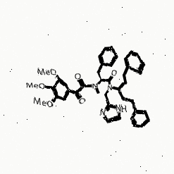 COc1cc(C(=O)C(=O)N(C)[C@@H](Cc2ccccc2)C(=O)N(Cc2ncc[nH]2)C(CCc2ccccc2)CCc2ccccc2)cc(OC)c1OC